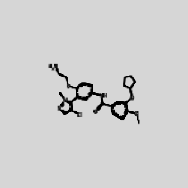 COc1ccc(C(=O)Nc2ccc(OCCN)c(-c3c(Cl)cnn3C)c2)cc1OC1CCCC1